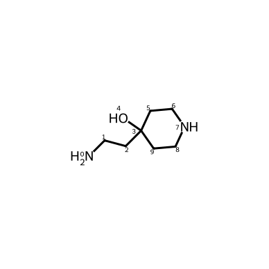 NCCC1(O)CCNCC1